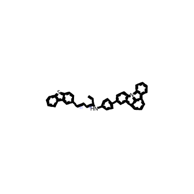 C=C/C(=C\C=C\c1ccc2sc3ccccc3c2c1)Nc1ccc(-c2ccc3c(c2)c2cccc4c5ccccc5n3c42)cc1